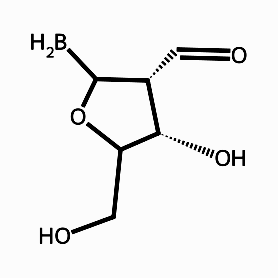 BC1OC(CO)[C@@H](O)[C@H]1C=O